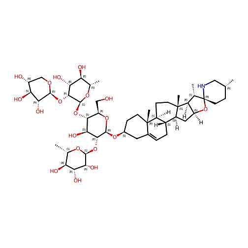 C[C@@H]1CC[C@@]2(NC1)O[C@H]1C[C@H]3[C@@H]4CC=C5C[C@@H](O[C@@H]6O[C@H](CO)[C@@H](O[C@@H]7O[C@@H](C)[C@H](O)[C@@H](O)[C@H]7O[C@@H]7OC[C@@H](O)[C@H](O)[C@H]7O)[C@H](O)[C@H]6O[C@@H]6O[C@@H](C)[C@H](O)[C@@H](O)[C@H]6O)CC[C@]5(C)[C@H]4CC[C@]3(C)[C@H]1[C@@H]2C